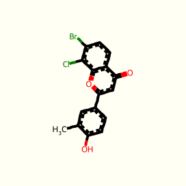 Cc1cc(-c2cc(=O)c3ccc(Br)c(Cl)c3o2)ccc1O